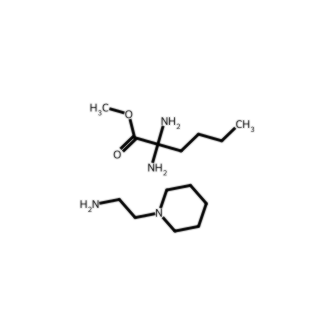 CCCCC(N)(N)C(=O)OC.NCCN1CCCCC1